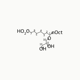 CCCCCCCCC(CCCCCCC(=O)O)OCC(O)CO